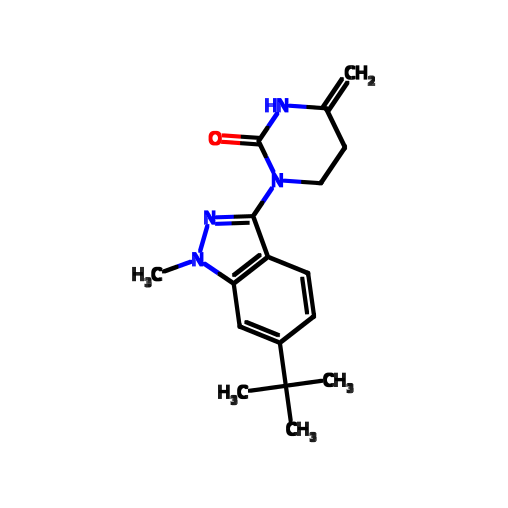 C=C1CCN(c2nn(C)c3cc(C(C)(C)C)ccc23)C(=O)N1